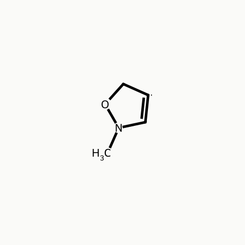 CN1C=[C]CO1